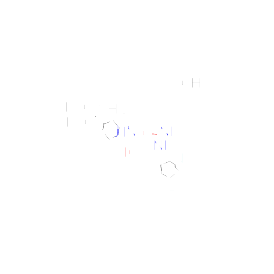 CCCCCCNC(=O)NC(Cc1cc(F)cc(F)c1)C(O)CNC1(c2cccc(C(C)(C)C)c2)CCCCC1